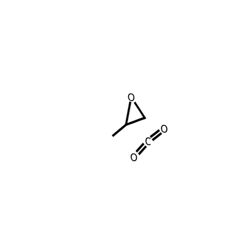 CC1CO1.O=C=O